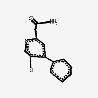 NC(=O)c1cc(-c2ccccc2)c(Cl)cn1